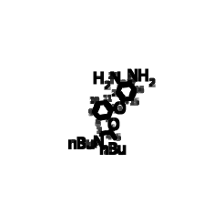 CCCCN(CCCC)CC(C)Oc1ccccc1Oc1ccc(N)c(N)c1